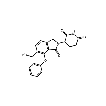 O=C1CCC(N2Cc3ccc(CO)c(Oc4ccccc4)c3C2=O)C(=O)N1